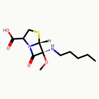 CCCCCN[C@]1(OC)C(=O)N2C(C(=O)O)CS[C@@H]21